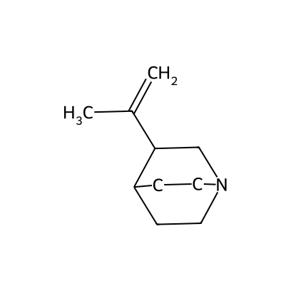 C=C(C)C1CN2CCC1CC2